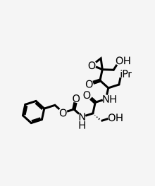 CC(C)CC(NC(=O)[C@H](CO)NC(=O)OCc1ccccc1)C(=O)C1(CO)CO1